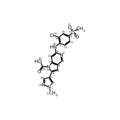 Cn1cc(-c2cc3cnc(Nc4ccc(S(C)(=O)=O)cc4Cl)cc3n2C(=O)O)cn1